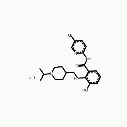 CC(C)N1CCC(CNc2c(O)cccc2C(=O)Nc2ccc(Cl)cn2)CC1.Cl